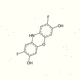 Oc1cc2c(cc1F)Nc1cc(F)c(O)cc1O2